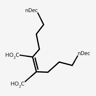 CCCCCCCCCCCCCC(C(=O)O)=C(CCCCCCCCCCCCC)C(=O)O